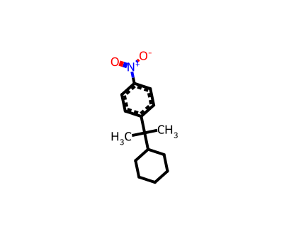 CC(C)(c1ccc([N+](=O)[O-])cc1)C1CCCCC1